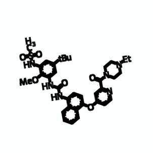 CCN1CCN(C(=O)c2cc(Oc3ccc(NC(=O)Nc4cc(C(C)(C)C)cc(NS(C)(=O)=O)c4OC)c4ccccc34)ccn2)CC1